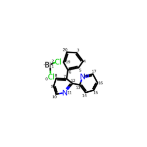 [Cl][Bi][Cl].c1ccc(-c2cccnc2-c2ccccn2)cc1